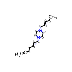 C=C=CC/C=C/CN1CCN(C/C=C/CC)CC1